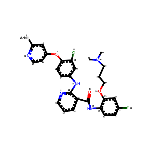 CC(=O)Nc1cc(Oc2ccc(Nc3ncccc3C(=O)Nc3ccc(F)cc3OCCCN(C)C)cc2Cl)ccn1